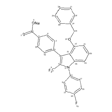 COC(=O)c1ccc(-c2c(C(F)(F)F)n(-c3ccc(F)cc3)c3cccc(OCc4ccccc4)c23)cc1